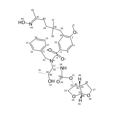 COc1ccc(S(=O)(=O)N(Cc2ccccc2)[C@H](NC(=O)O[C@H]2CO[C@H]3OCC[C@H]32)[C@@H](C)O)cc1CC(C)(C)CCC(C)=NO